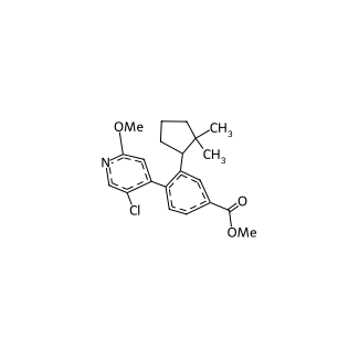 COC(=O)c1ccc(-c2cc(OC)ncc2Cl)c(C2CCCC2(C)C)c1